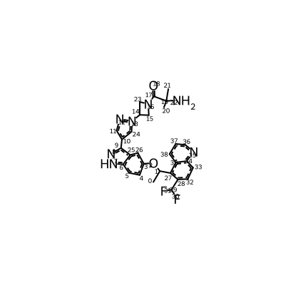 CC(Oc1ccc2[nH]nc(-c3cnn(C4CN(C(=O)C(C)(C)N)C4)c3)c2c1)c1c(C(F)F)ccc2ncccc12